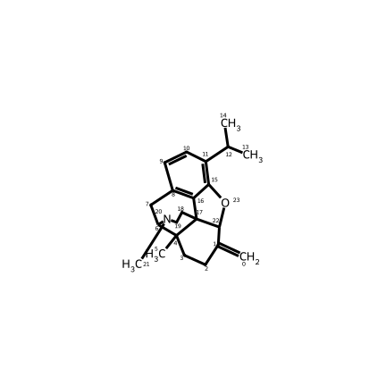 C=C1CCC2(C)C3Cc4ccc(C(C)C)c5c4C2(CCN3C)C1O5